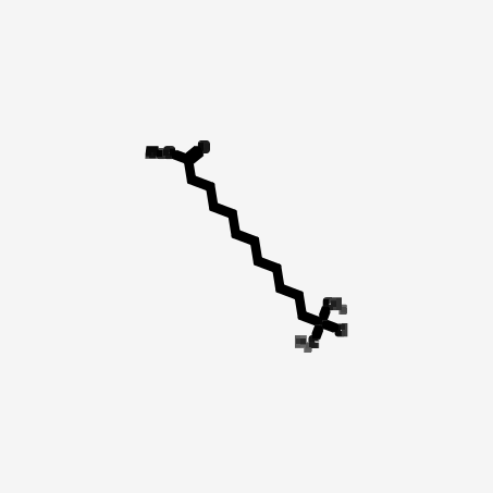 COC(=O)CCCCCCCCCCCS(C)(C)Cl